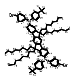 CCCCCCCCC1(CCCCCCCC)c2cc(N(c3ccc(Br)cc3)c3ccc(C(C)(C)C)cc3)ccc2-c2cc3c(cc21)-c1ccc(N(c2ccc(Br)cc2)c2ccc(C(C)(C)C)cc2)cc1C3(CCCCCCCC)CCCCCCCC